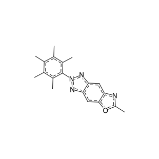 Cc1nc2cc3nn(-c4c(C)c(C)c(C)c(C)c4C)nc3cc2o1